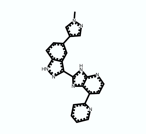 Cn1cc(-c2ccc3[nH]nc(-c4nc5c(-c6ccccn6)ccnc5[nH]4)c3c2)cn1